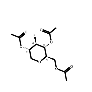 CC(=O)OC[C@H]1OC[C@H](OC(C)=O)[C@@H](F)[C@@H]1OC(C)=O